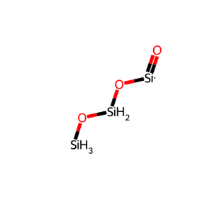 O=[Si]O[SiH2]O[SiH3]